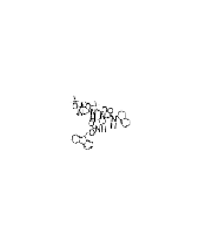 CN(CC(=O)NC(C(=O)N1C[C@@H](NC(=O)OCC2c3ccccc3-c3ccccc32)CC1C(=O)NC1CCCc2ccccc21)C(C)(C)C)C(=O)OC(C)(C)C